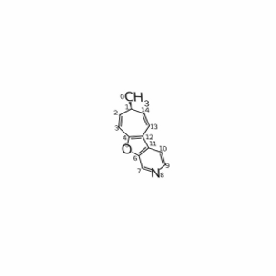 C[C@@H]1C=Cc2oc3cnccc3c2C=C1